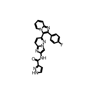 O=C(Nc1cn2nc(-c3c(-c4ccc(F)cc4)nc4ccccn34)ccc2n1)c1cc[nH]n1